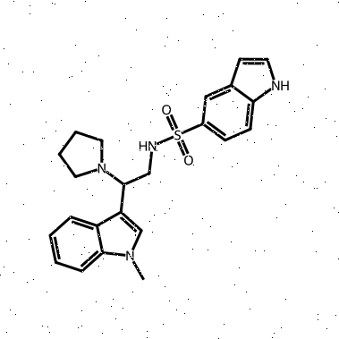 Cn1cc(C(CNS(=O)(=O)c2ccc3[nH]ccc3c2)N2CCCC2)c2ccccc21